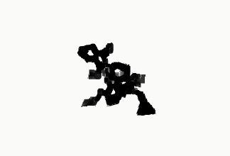 CCCCOc1ccc(C)c2c1O[C@H]1[C@H](N3C(=O)c4ccccc4C3O)CC[C@@]3(O)[C@H]4C(CN4CC4CC4)[C@]213